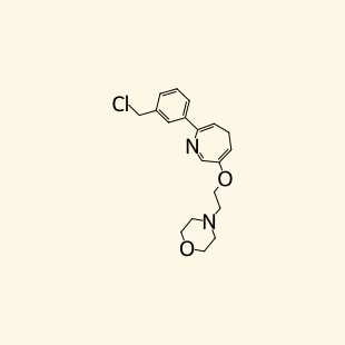 ClCc1cccc(C2=CCC=C(OCCN3CCOCC3)C=N2)c1